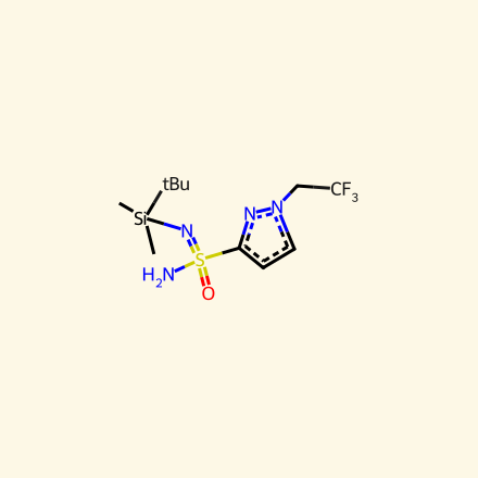 CC(C)(C)[Si](C)(C)N=S(N)(=O)c1ccn(CC(F)(F)F)n1